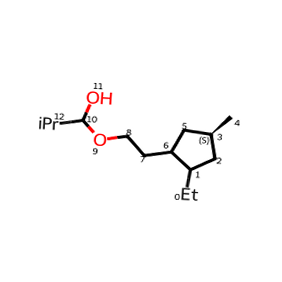 CCC1C[C@H](C)CC1CCOC(O)C(C)C